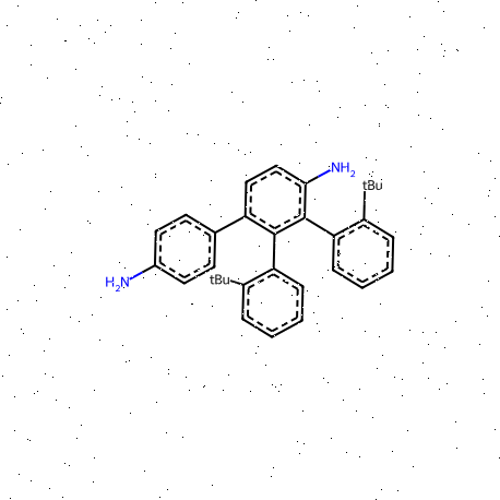 CC(C)(C)c1ccccc1-c1c(N)ccc(-c2ccc(N)cc2)c1-c1ccccc1C(C)(C)C